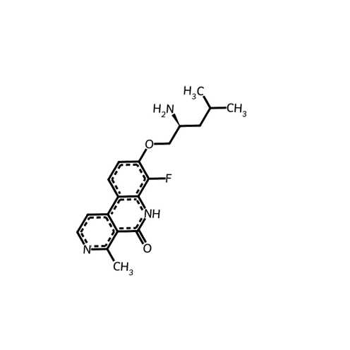 Cc1nccc2c1c(=O)[nH]c1c(F)c(OC[C@@H](N)CC(C)C)ccc12